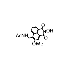 COc1cc2c3c(cccc3c1CNC(C)=O)C(=O)N(O)C2=O